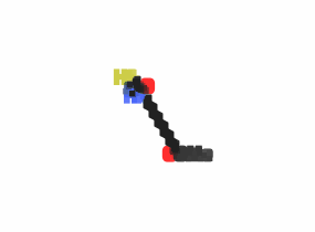 COC(=O)CCCCCCCCCCCNC(=O)C(CS)[N+](C)(C)C